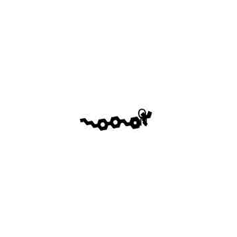 C=CC(=O)N(C)c1ccc(CCC2CCC(C3CCC(CCCCC)CC3)CC2)cc1